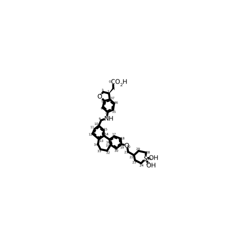 O=C(O)C[C@@H]1COc2cc(NCc3ccc4c(c3)-c3ccc(OCC5CCS(O)(O)CC5)cc3CCC4)ccc21